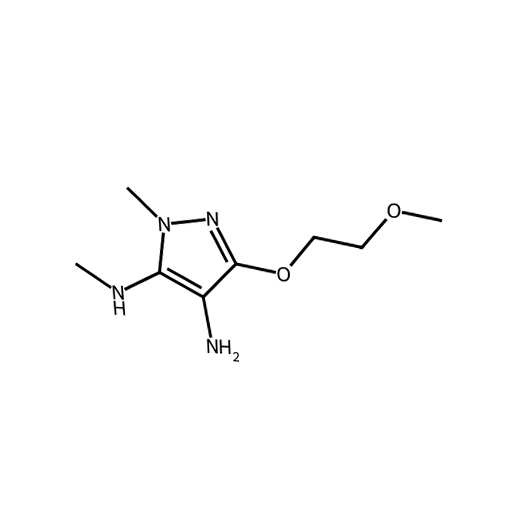 CNc1c(N)c(OCCOC)nn1C